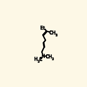 CC/C(C)=C/CC=CCN(C)C